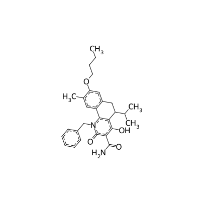 CCCCOc1cc2c(cc1C)-c1c(c(O)c(C(N)=O)c(=O)n1Cc1ccccc1)C(C(C)C)C2